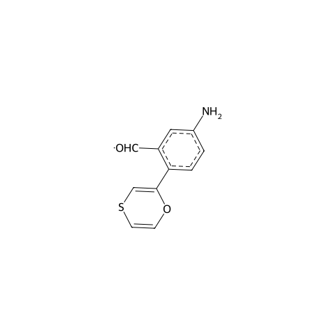 Nc1ccc(C2=CSC=CO2)c([C]=O)c1